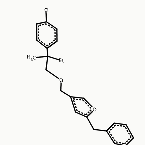 CCC(C)(COCc1coc(Cc2ccccc2)c1)c1ccc(Cl)cc1